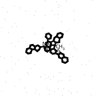 CC1(c2c(-c3nc(-c4ccccc4)nc(-c4ccc5c(ccc6ccccc65)c4)n3)ccc3c2sc2cc4ccccc4cc23)c2cc3ccccc3cc2-c2ccc3ccccc3c21